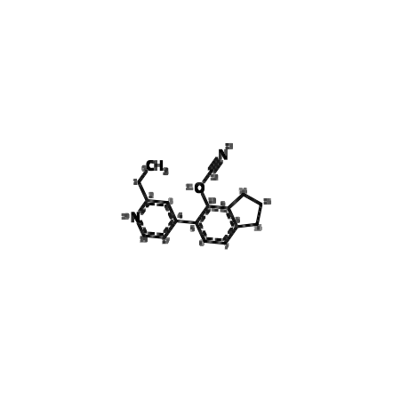 CCc1cc(-c2ccc3c(c2OC#N)CCC3)ccn1